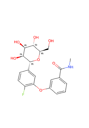 CNC(=O)c1cccc(Oc2cc([C@H]3O[C@H](CO)[C@@H](O)[C@H](O)[C@@H]3O)ccc2F)c1